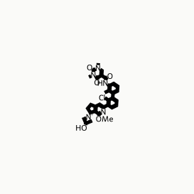 COc1nc(-c2cccc(-c3cccc(NC(=O)c4cn(C)c(=O)n(C)c4=O)c3C)c2Cl)cc2c1[C@H](N1CC(O)C1)CC2